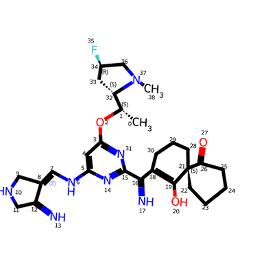 C[C@H](Oc1cc(N/C=C2/CNCC2=N)nc(C(=N)C2=C(O)[C@]3(CCCCC3=O)CCC2)n1)[C@@H]1C[C@@H](F)CN1C